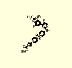 Cc1nc2c(F)cc(-c3nc(NC4CCN(S(=O)(=O)C5CCN(C6CN(C(=O)OC(C)(C)C)C6)CC5)CC4)ncc3F)cc2n1C(C)C